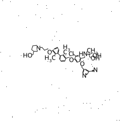 Cc1c(COc2cc(OCc3cncc(C#N)c3)c(CNC(C)(CO)CO)cc2Cl)cccc1-c1cccc(OCCCN2CCCC(CO)C2)c1C